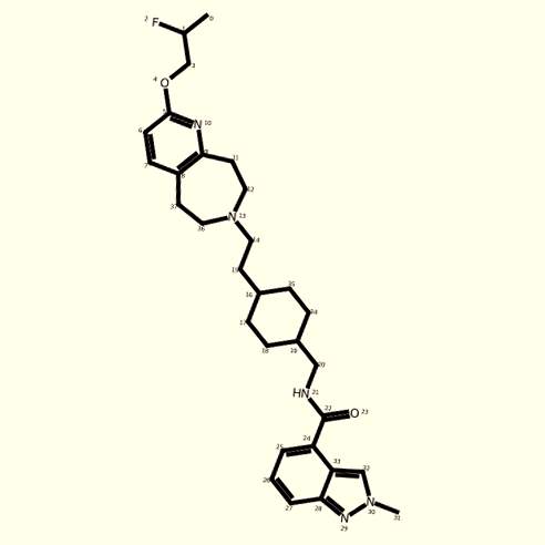 CC(F)COc1ccc2c(n1)CCN(CCC1CCC(CNC(=O)c3cccc4nn(C)cc34)CC1)CC2